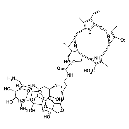 C=Cc1c(C)c2cc3nc(c(CC(=O)O)c4[nH]c(cc5nc(cc1[nH]2)C(C)=C5CC)c(C)c4C(=O)O)[C@@H](CCC(=O)NCCSC[C@H]1OC[C@@](O)(O[C@@H]2C(O)[C@H](N)CC(N)[C@H]2O[C@H]2OC(CN)[C@@H](O)[C@H](O)C2N)[C@H]1O[C@H]1O[C@H](CN)[C@@H](O)C(O)C1N)[C@@H]3C